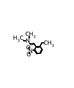 CCc1cccc([N+](=O)[O-])c1/C=C/N(CC)CC